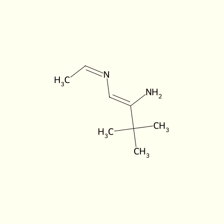 C/C=N\C=C(/N)C(C)(C)C